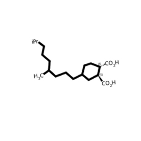 CC(C)CCCC(C)CCCC1CC[C@H](C(=O)O)[C@@H](C(=O)O)C1